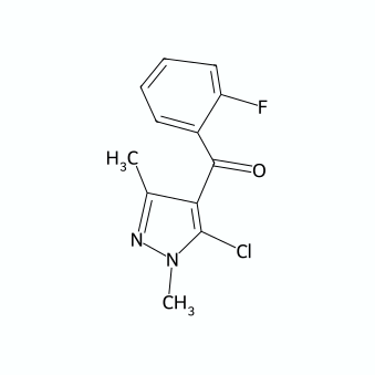 Cc1nn(C)c(Cl)c1C(=O)c1ccccc1F